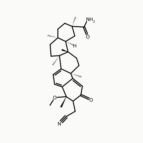 CO[C@]1(C)C2=CC=C3[C@@](C)(CC[C@@]4(C)[C@@H]5C[C@](C)(C(N)=O)CC[C@]5(C)CC[C@]34C)C2=CC(=O)C1CC#N